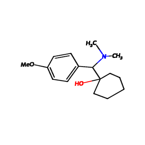 COc1ccc(C(N(C)C)C2(O)CCCCC2)cc1